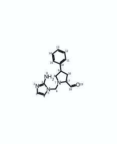 Nc1nccn1CN1CC(c2ccccc2)CC1C=O